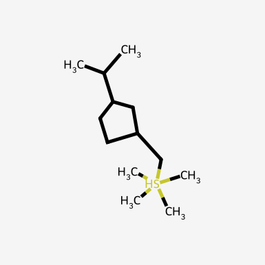 CC(C)C1CCC(C[SH](C)(C)(C)C)C1